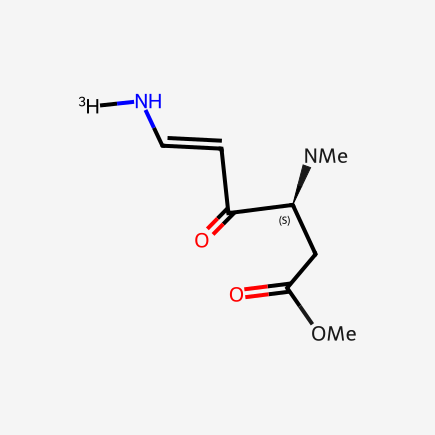 [3H]NC=CC(=O)[C@H](CC(=O)OC)NC